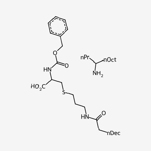 CCCCCCCCC(N)CCC.CCCCCCCCCCCC(=O)NCCCSCC(NC(=O)OCc1ccccc1)C(=O)O